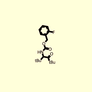 CC(C)(C)C(=O)C(NC(=O)OCc1ccccc1F)C(C)(C)C